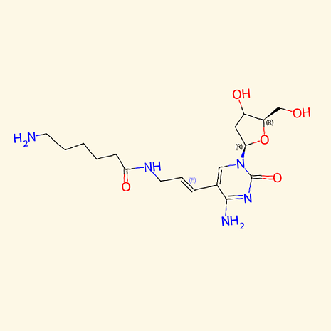 NCCCCCC(=O)NC/C=C/c1cn([C@H]2CC(O)[C@@H](CO)O2)c(=O)nc1N